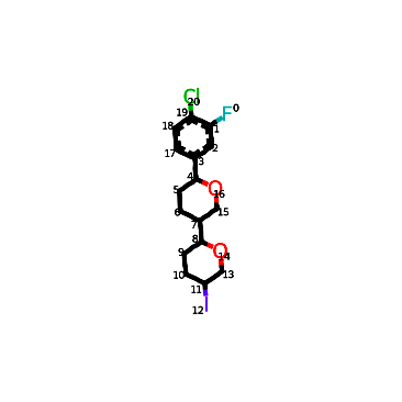 Fc1cc(C2CCC(C3CCC(I)CO3)CO2)ccc1Cl